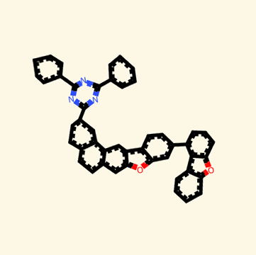 c1ccc(-c2nc(-c3ccccc3)nc(-c3ccc4ccc5cc6oc7cc(-c8cccc9oc%10ccccc%10c89)ccc7c6cc5c4c3)n2)cc1